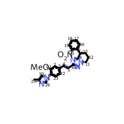 COc1cc(/C=C/c2nc3n(n2)CCCC3c2ccccc2[N+](=O)[O-])ccc1-n1cnc(C)c1